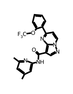 Cc1cc(C)nc(NC(=O)c2cnn3ccc(-c4ccccc4OC(F)(F)F)nc23)c1